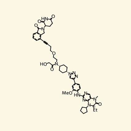 CC[C@@H]1C(=O)N(C)c2cnc(Nc3ccc(-c4cn([C@H]5CC[C@@H](N(CCOCCC#Cc6cccc7c6CN(C6CCC(=O)NC6=O)C7=O)C(=O)CO)CC5)nn4)cc3OC)nc2N1C1CCCC1